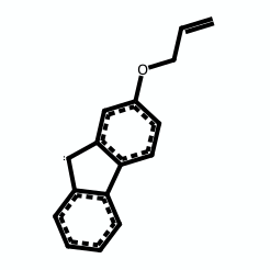 C=CCOc1ccc2c(c1)[C]c1ccccc1-2